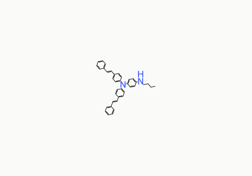 CCCCNc1ccc(N(c2ccc(/C=C/c3ccccc3)cc2)c2ccc(/C=C/c3ccccc3)cc2)cc1